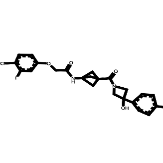 O=C(COc1ccc(Cl)c(F)c1)NC12CC(C(=O)N3CC(O)(c4ccc(Cl)cc4)C3)(C1)C2